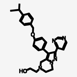 CC(C)c1ccc(COc2ccc(-c3c(-c4ccncn4)nn4c3CN(CCO)CC4)cc2)cc1